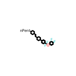 CCCCCC1CCC(/C=C/C2CCC(c3ccc(C(F)(F)Oc4ccc(F)c(F)c4)cc3)CC2)CC1